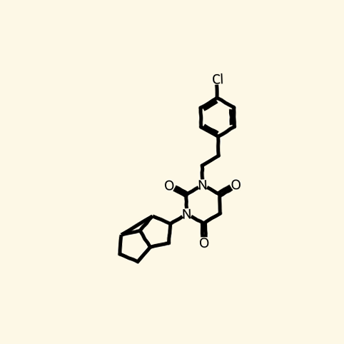 O=C1CC(=O)N(C2CC3CCC4C3C42)C(=O)N1CCc1ccc(Cl)cc1